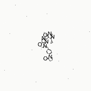 COc1ncnc(C2CC2)c1-c1ncc2c(n1)N(Cc1ccc(N3CCCC3=O)cc1)CCO2